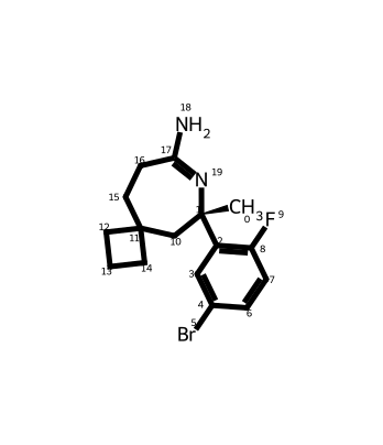 C[C@@]1(c2cc(Br)ccc2F)CC2(CCC2)CCC(N)=N1